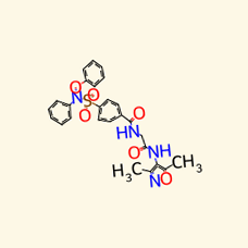 Cc1noc(C)c1NC(=O)CNC(=O)c1ccc(S(=O)(=O)N(Oc2ccccc2)c2ccccc2)cc1